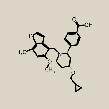 COc1cc(C)c2[nH]ccc2c1CN1CC[C@@H](OCC2CC2)C[C@@H]1c1ccc(C(=O)O)cc1